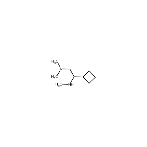 CNC(CN(C)C)C1CCC1